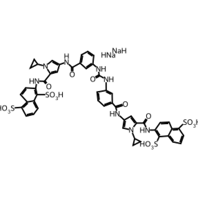 O=C(Nc1cccc(C(=O)Nc2cc(C(=O)Nc3ccc4c(S(=O)(=O)O)cccc4c3S(=O)(=O)O)n(C3CC3)c2)c1)Nc1cccc(C(=O)Nc2cc(C(=O)Nc3ccc4c(S(=O)(=O)O)cccc4c3S(=O)(=O)O)n(C3CC3)c2)c1.[NaH].[NaH]